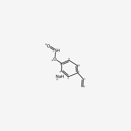 C=Cc1ccc(O[SH]=O)cc1.[NaH]